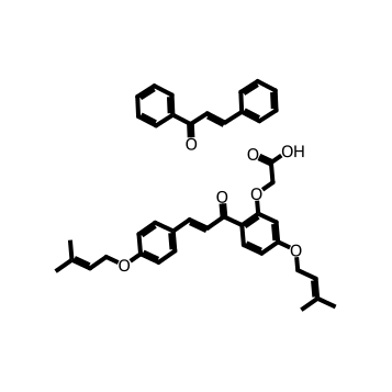 CC(C)=CCOc1ccc(/C=C/C(=O)c2ccc(OCC=C(C)C)cc2OCC(=O)O)cc1.O=C(C=Cc1ccccc1)c1ccccc1